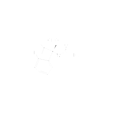 CC(C)(C)[S@@+]([O-])N[C@](C)(c1ccccc1F)[C@@](C)(F)C=O